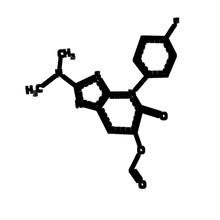 CN(C)c1nc2cc(OC=O)c(=O)n(-c3ccc(F)cc3)c2s1